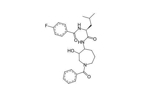 CC(C)C[C@H](NC(=O)c1ccc(F)cc1)C(=O)NC1CCCN(C(=O)c2ccccc2)CC1O